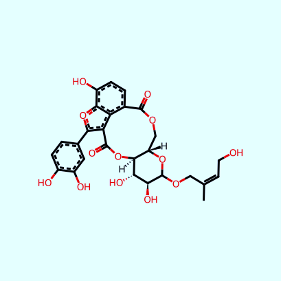 C/C(=C/CO)COC1O[C@H]2COC(=O)c3ccc(O)c4oc(-c5ccc(O)c(O)c5)c(c34)C(=O)O[C@@H]2[C@@H](O)[C@@H]1O